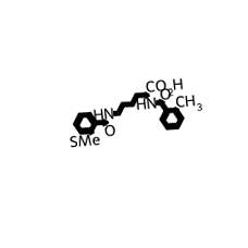 CSc1ccccc1C(=O)NCCCCC(NC(=O)c1ccccc1C)C(=O)O